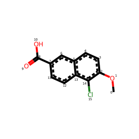 COc1ccc2cc(C(=O)O)ccc2c1Cl